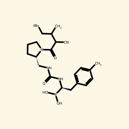 Cc1ccc(C[C@H](NC(=O)NC[C@@H]2CCCN2C(=O)C(C#N)C(C)CC(C)(C)C)B(O)O)cc1